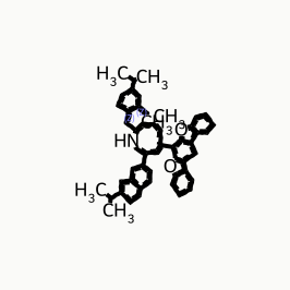 C/C=c1/cc(C(C)C)cc/c1=C/c1cc(C)cc(-c2c3oc4ccccc4c3cc3c2oc2ccccc23)cc(-c2ccc3ccc(C(C)C)cc3c2)c[nH]1